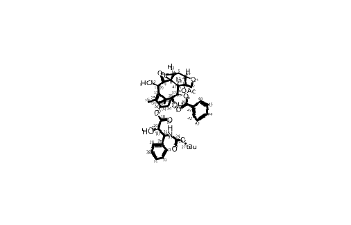 CC(=O)O[C@@]12CO[C@@H]1C[C@@H]1O[C@@]13C(=O)[C@H](O)C1=C(C)[C@@H](OC(=O)[C@H](O)[C@@H](NC(=O)OC(C)(C)C)c4ccccc4)CC(O)([C@@H](OC(=O)c4ccccc4)[C@H]23)C1(C)C